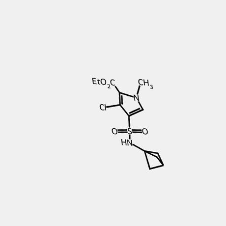 CCOC(=O)c1c(Cl)c(S(=O)(=O)NC23CC(C2)C3)cn1C